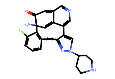 Cc1cccc(F)c1C1(N)C=c2c(-c3cn(C4CCNCC4)nc3C)cncc2=CC1=O